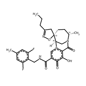 CCCC1=NO[C@@]2(CC[C@H](C)N3C[C@H]2n2cc(C(=O)NCc4c(F)cc(C)cc4F)c(=O)c(O)c2C3=O)C1